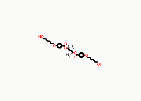 C/C(=C\C=C(/C)OC(=O)c1ccc(OCCCCCCO)cc1)OC(=O)c1ccc(OCCCCCCO)cc1